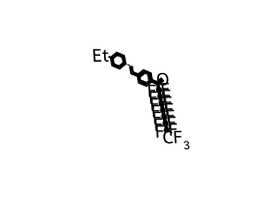 CC[C@H]1CC[C@H](CCc2ccc(C(=O)C(F)(F)C(F)(F)C(F)(F)C(F)(F)C(F)(F)C(F)(F)C(F)(F)C(F)(F)F)cc2)CC1